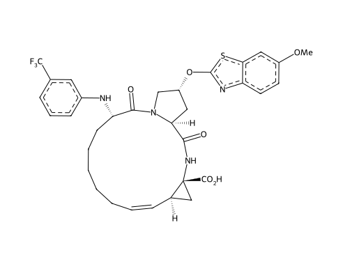 COc1ccc2nc(O[C@@H]3C[C@H]4C(=O)N[C@]5(C(=O)O)C[C@H]5/C=C\CCCCC[C@H](Nc5cccc(C(F)(F)F)c5)C(=O)N4C3)sc2c1